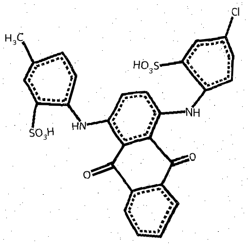 Cc1ccc(Nc2ccc(Nc3ccc(Cl)cc3S(=O)(=O)O)c3c2C(=O)c2ccccc2C3=O)c(S(=O)(=O)O)c1